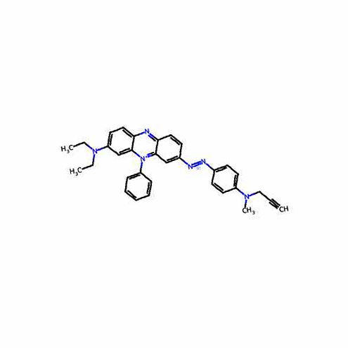 C#CCN(C)c1ccc(/N=N/c2ccc3nc4ccc(N(CC)CC)cc4[n+](-c4ccccc4)c3c2)cc1